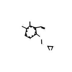 O=Cc1c(OC[C@@H]2CO2)ccc(F)c1F